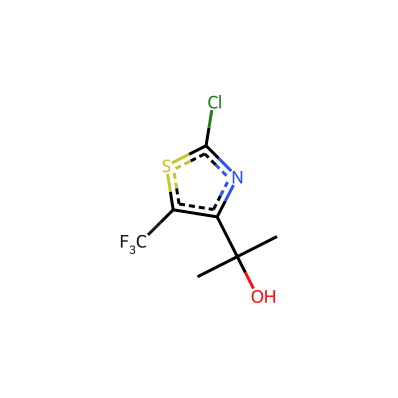 CC(C)(O)c1nc(Cl)sc1C(F)(F)F